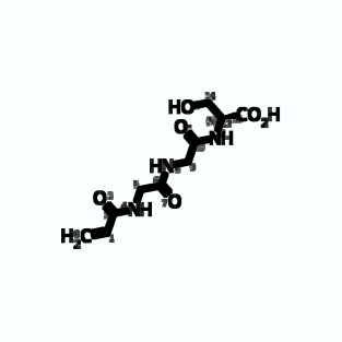 C=CC(=O)NCC(=O)NCC(=O)N[C@@H](CO)C(=O)O